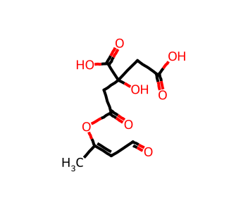 CC(=CC=O)OC(=O)CC(O)(CC(=O)O)C(=O)O